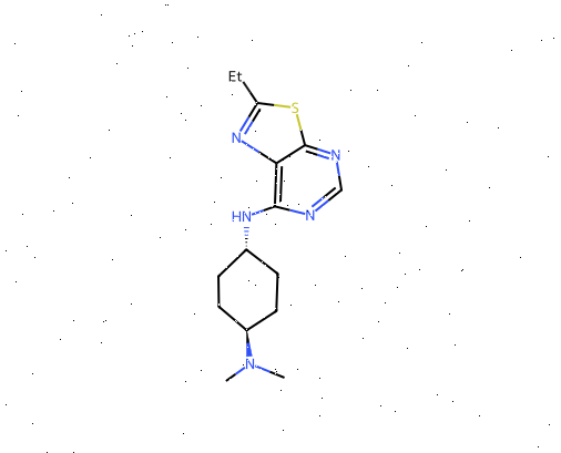 CCc1nc2c(N[C@H]3CC[C@H](N(C)C)CC3)ncnc2s1